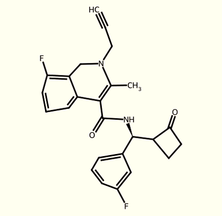 C#CCN1Cc2c(F)cccc2C(C(=O)N[C@H](c2cccc(F)c2)C2CCC2=O)=C1C